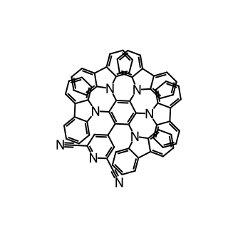 N#Cc1cc(-c2c(-n3c4ccccc4c4ccccc43)c(-n3c4ccccc4c4ccccc43)c(-n3c4ccccc4c4ccccc43)c(-n3c4ccccc4c4ccccc43)c2-n2c3ccccc3c3ccccc32)cc(C#N)n1